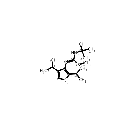 CS/C(=N\c1c(C(C)C)csc1C(C)C)NC(C)(C)C